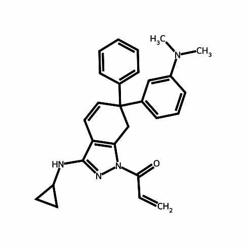 C=CC(=O)n1nc(NC2CC2)c2c1CC(c1ccccc1)(c1cccc(N(C)C)c1)C=C2